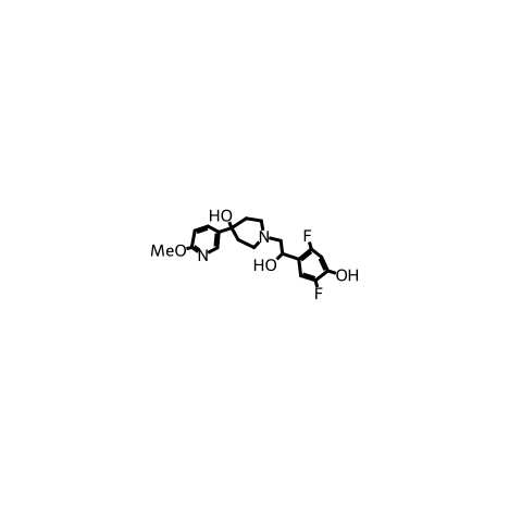 COc1ccc(C2(O)CCN(CC(O)c3cc(F)c(O)cc3F)CC2)cn1